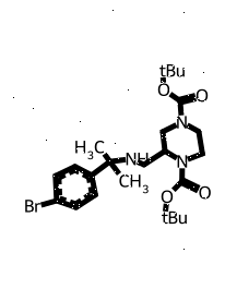 CC(C)(C)OC(=O)N1CCN(C(=O)OC(C)(C)C)C(CNC(C)(C)c2ccc(Br)cc2)C1